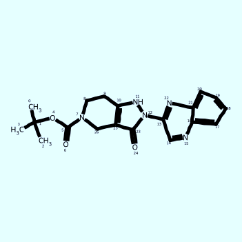 CC(C)(C)OC(=O)N1CCc2[nH]n(-c3cnc4ccccc4n3)c(=O)c2C1